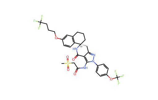 CS(=O)(=O)CC(=O)Nc1c2c(nn1-c1ccc(OC(F)(F)F)cc1)C[C@]1(CCCc3cc(OCCCC(F)(F)F)ccc31)NC2=O